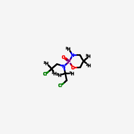 [2H]N1CC([2H])([2H])COP1(=O)N(CC([2H])([2H])Cl)C([2H])([2H])CCl